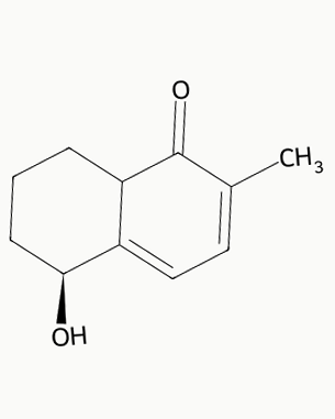 CC1=CC=C2C(CCC[C@@H]2O)C1=O